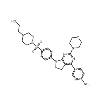 Nc1ncc(-c2nc(N3CCOCC3)nc3c2CCN3c2ccc(S(=O)(=O)N3CCN(CCO)CC3)cc2)cn1